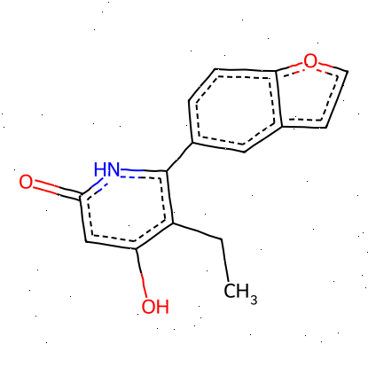 CCc1c(O)cc(=O)[nH]c1-c1ccc2occc2c1